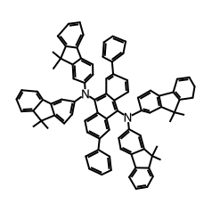 CC1(C)C2=C(C=CCC2)c2ccc(N(c3ccc4c(c3)C(C)(C)c3ccccc3-4)c3c4ccc(-c5ccccc5)cc4c(N(c4ccc5c(c4)-c4ccccc4C5(C)C)c4ccc5c(c4)C(C)(C)c4ccccc4-5)c4ccc(-c5ccccc5)cc34)cc21